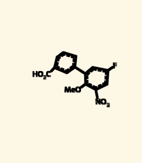 COc1c(-c2cccc(C(=O)O)c2)cc(F)cc1[N+](=O)[O-]